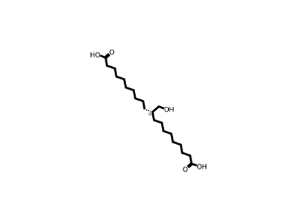 O=C(O)CCCCCCCCC[C@H](CO)CCCCCCCCC(=O)O